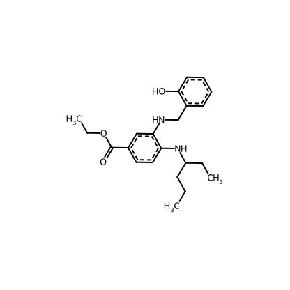 CCCC(CC)Nc1ccc(C(=O)OCC)cc1NCc1ccccc1O